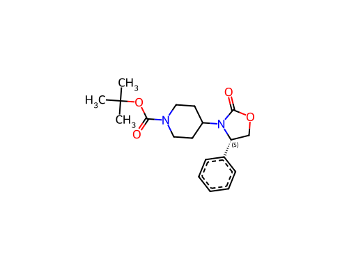 CC(C)(C)OC(=O)N1CCC(N2C(=O)OC[C@@H]2c2ccccc2)CC1